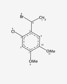 COc1cc(Cl)c(C(C)Br)cc1OC